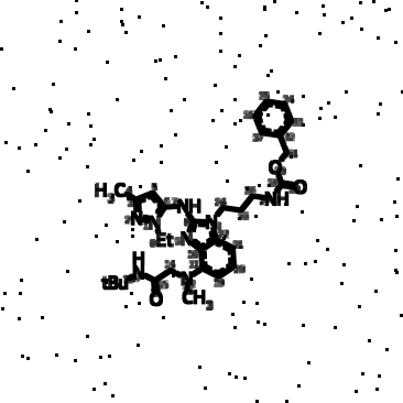 CCn1nc(C)cc1Nc1nc2c(N(C)CC(=O)NC(C)(C)C)cccc2n1CCCNC(=O)OCc1ccccc1